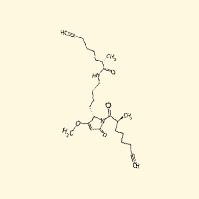 C#CCCCC[C@H](C)C(=O)NCCCC[C@H]1C(OC)=CC(=O)N1C(=O)[C@@H](C)CCCCC#C